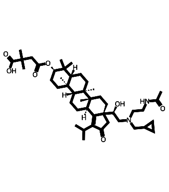 CC(=O)NCCN(CC1CC1)C[C@H](O)[C@@]12CC[C@]3(C)[C@H](CC[C@@H]4[C@@]5(C)CC[C@H](OC(=O)CC(C)(C)C(=O)O)C(C)(C)[C@@H]5CC[C@]43C)C1=C(C(C)C)C(=O)C2